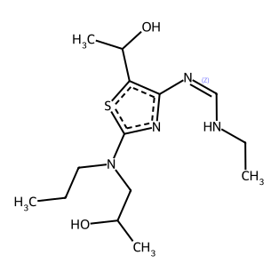 CCCN(CC(C)O)c1nc(/N=C\NCC)c(C(C)O)s1